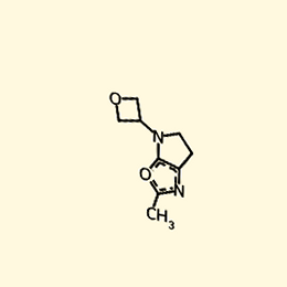 Cc1nc2c(o1)N(C1COC1)CC2